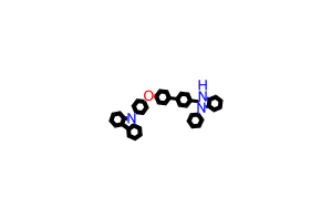 c1ccc(N2c3ccccc3NC2c2ccc(-c3ccc(Oc4ccc(-n5c6ccccc6c6ccccc65)cc4)cc3)cc2)cc1